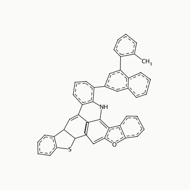 Cc1ccccc1-c1cc(-c2cccc(C3=CC4c5ccccc5SC4C=C3)c2NC2=c3c(oc4ccccc34)=CCC2)cc2ccccc12